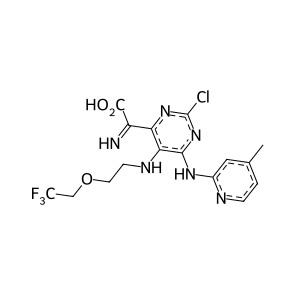 Cc1ccnc(Nc2nc(Cl)nc(C(=N)C(=O)O)c2NCCOCC(F)(F)F)c1